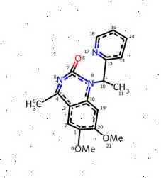 COc1cc2c(C)nc(=O)n(C(C)c3ccccn3)c2cc1OC